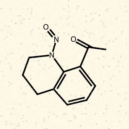 CC(=O)c1cccc2c1N(N=O)CCC2